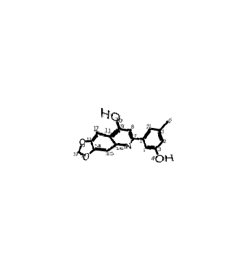 Cc1cc(O)cc(-c2cc(O)c3cc4c(cc3n2)OCO4)c1